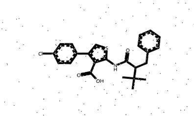 CC(C)(C)C(Cc1ccccc1)C(=O)Nc1scc(-c2ccc(Cl)cc2)c1C(=O)O